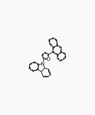 C1=CC2c3ccccc3N(c3ccc(-c4c5ccccc5cc5ccccc45)o3)C2C=C1